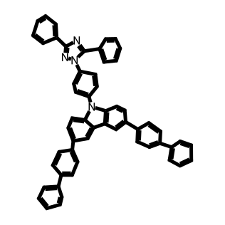 c1ccc(-c2ccc(-c3ccc4c(c3)c3cc(-c5ccc(-c6ccccc6)cc5)ccc3n4-c3ccc(-n4nc(-c5ccccc5)nc4-c4ccccc4)cc3)cc2)cc1